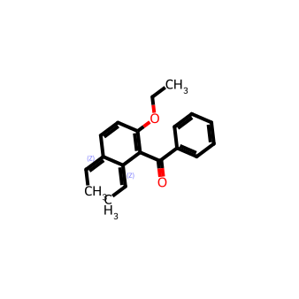 C/C=c1/ccc(OCC)c(C(=O)c2ccccc2)/c1=C/C